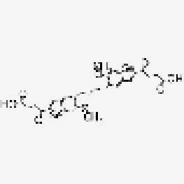 COc1cc2[se]c(C(=O)CCC(=O)O)cc2cc1CCCCc1cc2cc(C(=O)CCC(=O)O)[se]c2cc1OC